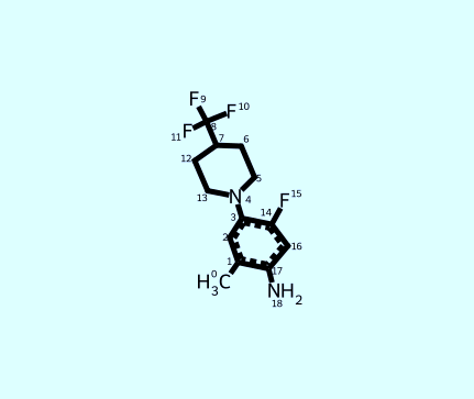 Cc1cc(N2CCC(C(F)(F)F)CC2)c(F)cc1N